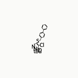 CC(C)(C)n1ncc(SCc2ccc(-c3ccccc3)cc2)c(Cl)c1=O